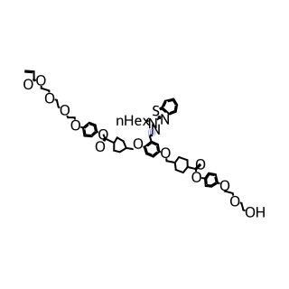 C=CC(=O)OCCOCCOCCOc1ccc(OC(=O)C2CCC(COc3ccc(OCC4CCC(C(=O)Oc5ccc(OCCOCCO)cc5)CC4)cc3/C=N/N(CCCCCC)c3nc4ccccc4s3)CC2)cc1